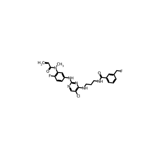 C=CC(=O)N(C)c1cc(Nc2ncc(Cl)c(NCCCNC(=O)c3cccc(CF)c3)n2)ccc1F